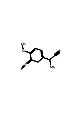 COC1=CC=C(C(C)C#N)CC1=C=O